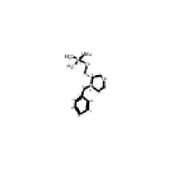 CC(C)(C)[Si](C)(C)OC[C@@H]1COCCN1Cc1ccccc1